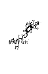 C[S+]([O-])c1cc(OCC(O)CNC(C)(C)C)ccc1O